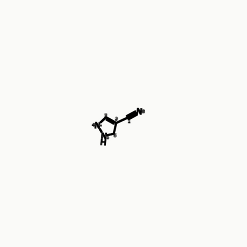 N#CC1=C[N]NC1